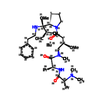 CC[C@H](C)[C@@H]([C@@H](CC(=O)N1CCC[C@H]1[C@](NCCc1ccccc1)(OC)[C@@H](C)C=O)OC)N(C)C(=O)[C@@H](NC(=O)[C@H](C(C)C)N(C)C)C(C)C